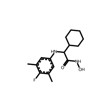 Cc1cc(NC(C(=O)NO)C2CCCCC2)cc(C)c1F